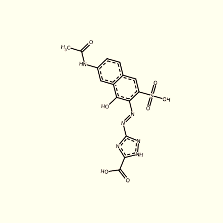 CC(=O)Nc1ccc2cc(S(=O)(=O)O)c(N=Nc3n[nH]c(C(=O)O)n3)c(O)c2c1